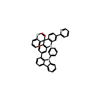 c1ccc(-n2c3ccccc3c3cccc(-c4ccc5c(c4)Oc4cc(-c6ccccn6)ccc4C54c5ccccc5Oc5ccccc54)c32)cc1